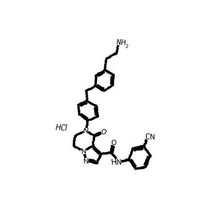 Cl.N#Cc1cccc(NC(=O)c2cnn3c2C(=O)N(c2ccc(Cc4cccc(CCN)c4)cc2)CC3)c1